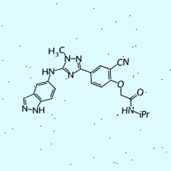 CC(C)NC(=O)COc1ccc(-c2nc(Nc3ccc4[nH]ncc4c3)n(C)n2)cc1C#N